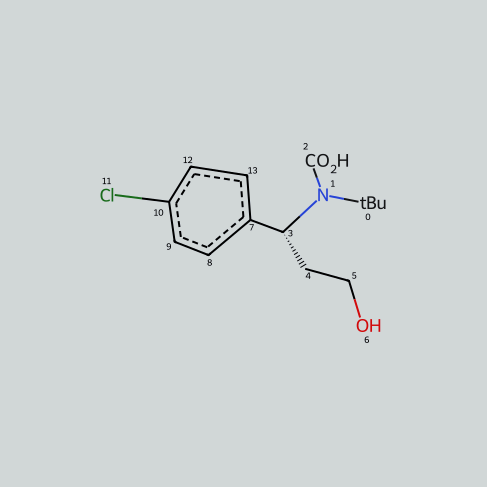 CC(C)(C)N(C(=O)O)[C@H](CCO)c1ccc(Cl)cc1